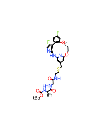 CC(C)C(NC(=O)OC(C)(C)C)C(=O)NCC(=O)NCCSCc1cc2nc(c1)OCCCOc1cc(F)ccc1-c1cc(ncc1F)N2